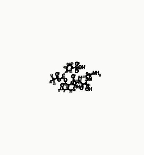 COCC1=C(C(=O)OC(C)OC(=O)C(C)(C)C)N2C(=O)C(NC(=O)/C(=N\O)c3csc(N)n3)[C@@H]2SC1.O=S(=O)(O)c1ccccc1